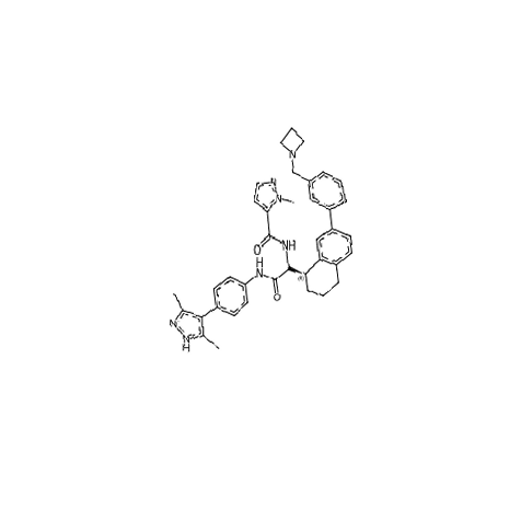 Cc1n[nH]c(C)c1-c1ccc(NC(=O)C(NC(=O)c2ccnn2C)[C@@H]2CCCc3ccc(-c4cccc(CN5CCC5)c4)cc32)cc1